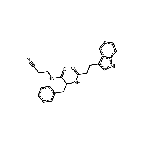 N#CCCNC(=O)C(Cc1ccccc1)NC(=O)CCc1c[nH]c2ccccc12